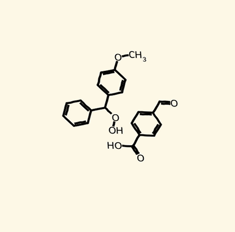 COc1ccc(C(OO)c2ccccc2)cc1.O=Cc1ccc(C(=O)O)cc1